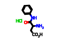 Cl.NC(CC(=O)O)C(=O)Nc1ccccc1